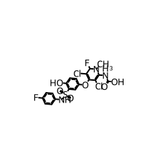 CN1C(NC(=O)O)=C(Cl)C(Oc2ccc(O)c(S(=O)(=O)Nc3ccc(F)cc3)c2)=C(Cl)C1F